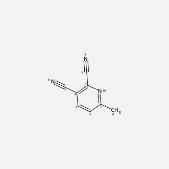 Cc1ccc(C#N)c(C#N)n1